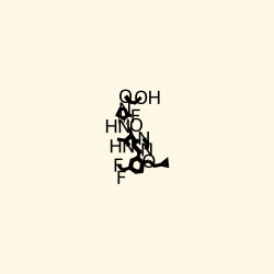 Cc1[nH]c2c(-c3cc(C(F)F)ccc3OCC3CC3)ncnc2c1C(=O)N[C@H]1CCN(C(=O)CO)C1F